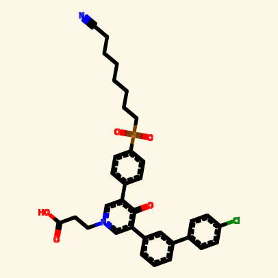 N#CCCCCCCCS(=O)(=O)c1ccc(-c2cn(CCC(=O)O)cc(-c3cccc(-c4ccc(Cl)cc4)c3)c2=O)cc1